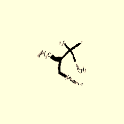 C=C(CNC)C(C)(C)F